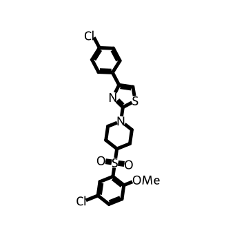 COc1ccc(Cl)cc1S(=O)(=O)C1CCN(c2nc(-c3ccc(Cl)cc3)cs2)CC1